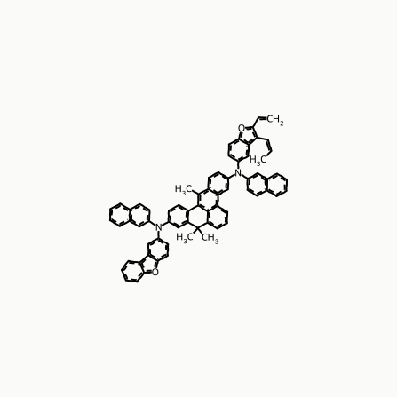 C=Cc1oc2ccc(N(c3ccc4ccccc4c3)c3ccc4c(C)c5c6c(cccc6c4c3)C(C)(C)c3cc(N(c4ccc6ccccc6c4)c4ccc6oc7ccccc7c6c4)ccc3-5)cc2c1/C=C\C